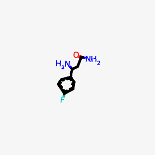 NC(=O)CC(N)c1ccc(F)cc1